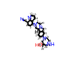 C[C@@H]1CN(c2ccc(C#N)c3ncccc23)C[C@@H]2c3ccc(N4CCNCC(C)(O)C4)cc3CN12